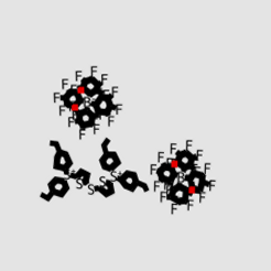 CCc1ccc([S+](c2ccc(CC)cc2)c2ccc(Sc3ccc([S+](c4ccc(CC)cc4)c4ccc(CC)cc4)s3)s2)cc1.Fc1c(F)c(F)c([B-](c2c(F)c(F)c(F)c(F)c2F)(c2c(F)c(F)c(F)c(F)c2F)c2c(F)c(F)c(F)c(F)c2F)c(F)c1F.Fc1c(F)c(F)c([B-](c2c(F)c(F)c(F)c(F)c2F)(c2c(F)c(F)c(F)c(F)c2F)c2c(F)c(F)c(F)c(F)c2F)c(F)c1F